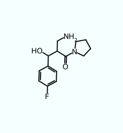 NCC(C(=O)N1CCCC1)C(O)c1ccc(F)cc1